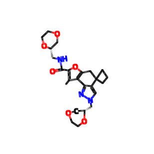 Cc1c(C(=O)NC[C@H]2COCCO2)oc2c1-c1nn(C[C@H]3COCCO3)cc1C1(CCC1)C2